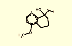 COc1ccnc2c1CCCC2(O)SI